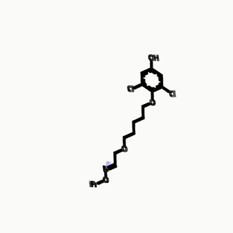 CC(C)O/N=C/COCCCCCOc1c(Cl)cc(O)cc1Cl